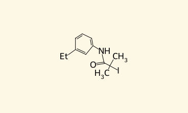 CCc1cccc(NC(=O)C(C)(C)I)c1